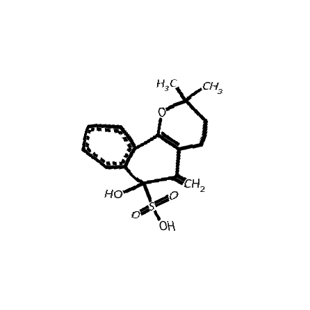 C=C1C2=C(OC(C)(C)CC2)c2ccccc2C1(O)S(=O)(=O)O